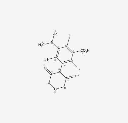 CC(=O)N(C)c1c(I)c(C(=O)O)c(I)c(N2C(=O)COCC2=O)c1I